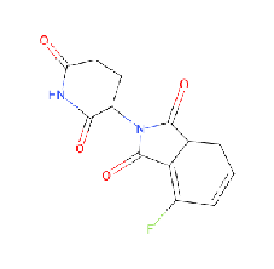 O=C1CCC(N2C(=O)C3=C(F)C=CCC3C2=O)C(=O)N1